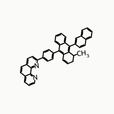 CC1CC=Cc2c1c(-c1ccc3ccccc3c1)c1ccccc1c2-c1ccc(-c2ccc3ccc4cccnc4c3n2)cc1